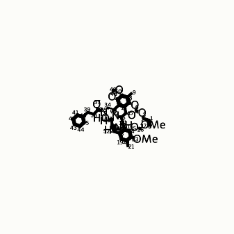 C=CCOC(=O)Oc1c(C)c2c(c3c1CC1[C@H]4c5c(cc(C)c(OC)c5OCOC)C[C@@H]([C@H](O)N1[C@H]3CNC(=O)CCc1ccccc1)N4C)OCO2